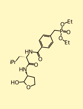 CCOP(=O)(Cc1ccc(C(=O)N[C@@H](CC(C)C)C(=O)N[C@H]2CCOC2O)cc1)OCC